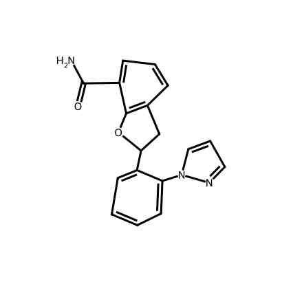 NC(=O)c1cccc2c1OC(c1ccccc1-n1cccn1)C2